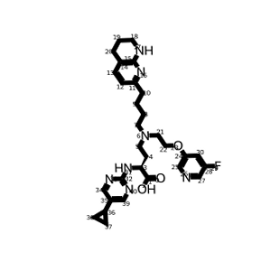 O=C(O)[C@H](CCN(CCCCc1ccc2c(n1)NCCC2)CCOc1cncc(F)c1)Nc1ncc(C2CC2)cn1